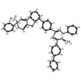 C=N/C(=N\C(=N/Cc1ccccc1)c1ccc(-c2cccc3c2CC2=CCC(C)(c4ccccc4)C=C23)cc1)c1ccc(-c2ccccc2)cc1